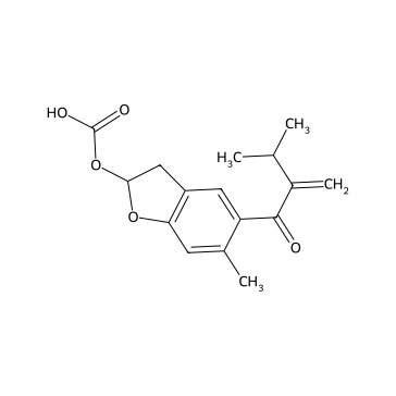 C=C(C(=O)c1cc2c(cc1C)OC(OC(=O)O)C2)C(C)C